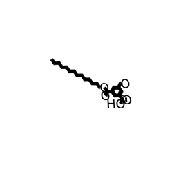 CCCCCCCCCCCCCCOC(=O)c1cc(C=O)cc(S(=O)O)c1